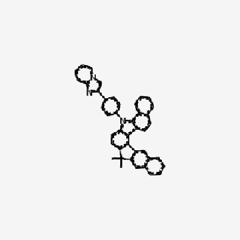 CC1(C)c2cc3ccccc3cc2-c2c1ccc1c2c2ccc3ccccc3c2n1-c1ccc(-c2cn3ccccc3n2)cc1